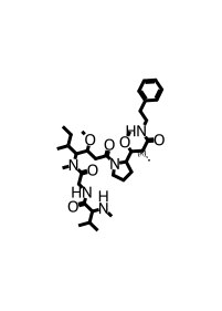 CCC(C)C(C(CC(=O)N1CCCC1C(OC)[C@@H](C)C(=O)NCCc1ccccc1)OC)N(C)C(=O)CNC(=O)C(NC)C(C)C